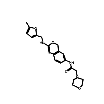 Cc1ccc(CNC2=Nc3ccc(NC(=O)CN4CCOCC4)cc3CO2)o1